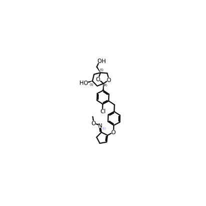 CO/N=C1\CCC=C1Oc1ccc(Cc2cc([C@]34C[C@@H](O)C[C@](CO)(CO3)O4)ccc2Cl)cc1